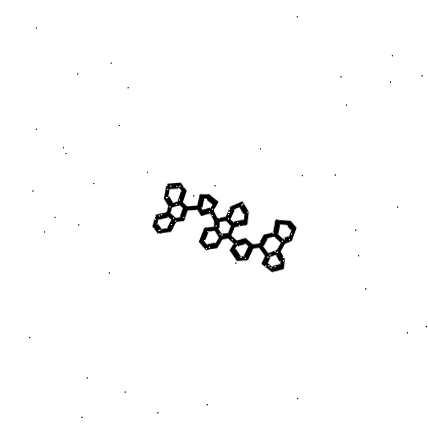 c1cc(-c2c3ccccc3c(-c3cccc(-c4cc5ccccc5c5ccccc45)c3)c3ccccc23)cc(-c2cc3ccccc3c3ccccc23)c1